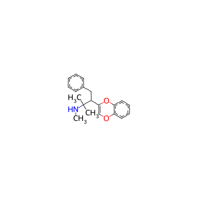 CNC(C)(C)C(Cc1ccccc1)C1=COc2ccccc2O1